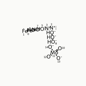 [Fe+3].[Fe+3].[N+].[N+].[OH-].[OH-].[OH-].[OH-].[OH-].[OH-].[O]=[Mo](=[O])([O-])[O-]